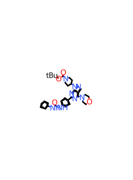 CC(C)(C)OC(=O)N1CCC(n2ncc3c(N4CCOCC4)nc(-c4ccc(NC(=O)Nc5ccccc5)cc4)nc32)CC1